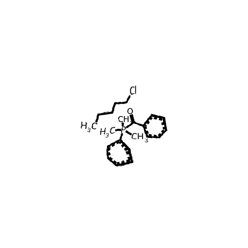 CCCCCCl.CP(C)(C)(C(=O)c1ccccc1)c1ccccc1